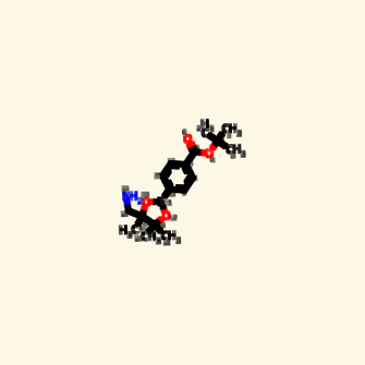 CC(C)(C)OC(=O)c1ccc(B2OC(C)(C)C(C)(CN)O2)cc1